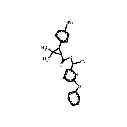 CC(C)(C)c1ccc(C2C(C(=O)OC(C#N)c3cccc(Oc4ccccc4)n3)C2(C)C)cc1